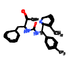 COC(=O)C(Cc1ccccc1)NC(=O)N[C@@H](c1ccc(C(F)(F)F)cc1)c1ncccc1C(F)(F)F